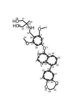 COc1cc(Oc2ncnc3c(-c4ccc5c(c4)OCCO5)cccc23)cc(OC)c1CNC(C)(CO)CO